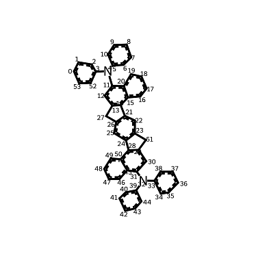 c1ccc(N(c2ccccc2)c2cc3c(c4ccccc24)-c2cc4c(cc2C3)-c2c(cc(N(c3ccccc3)c3ccccc3)c3ccccc23)C4)cc1